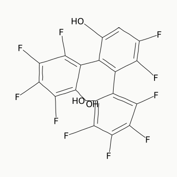 Oc1cc(F)c(F)c(-c2c(O)c(F)c(F)c(F)c2F)c1-c1c(O)c(F)c(F)c(F)c1F